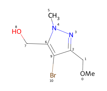 COCc1nn(C)c(CO)c1Br